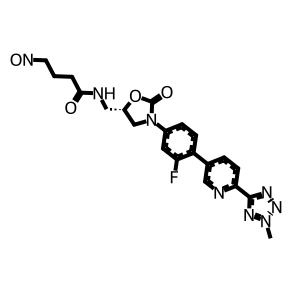 Cn1nnc(-c2ccc(-c3ccc(N4C[C@H](CNC(=O)CCCN=O)OC4=O)cc3F)cn2)n1